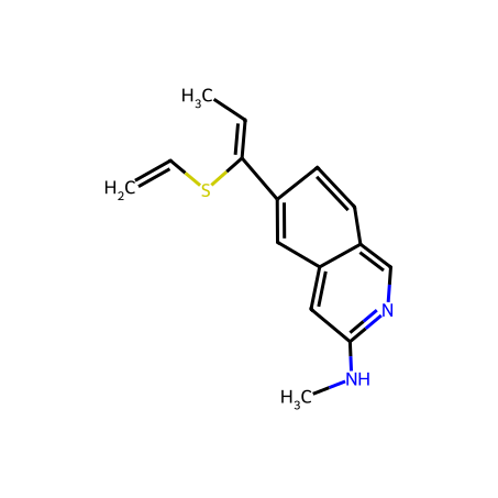 C=CS/C(=C\C)c1ccc2cnc(NC)cc2c1